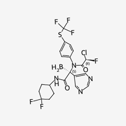 B[C@@](C(=O)NC1CCC(F)(F)CC1)(c1cncnc1)N(C(=O)[C@H](F)Cl)c1ccc(SC(F)(F)F)cc1